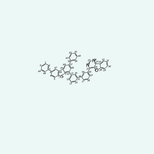 c1ccc(-c2ccc3sc4c(-c5cccc(-c6cccc(-c7ncnc8c7oc7ccccc78)c6)c5)cc(-c5ccccc5)cc4c3c2)cc1